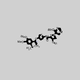 C=Nc1cc(OC)c(OC)cc1/C(=C\C)Oc1ccc(NC(=O)c2nn(-c3cncnc3OC)cc2OCC)nc1